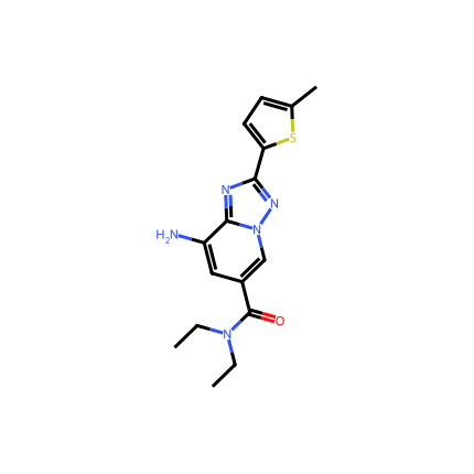 CCN(CC)C(=O)c1cc(N)c2nc(-c3ccc(C)s3)nn2c1